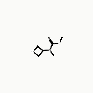 COC(=O)N(C)C1CNC1